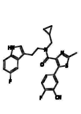 Cc1nc(C(=O)N(CCc2c[nH]c3ccc(F)cc23)CC2CC2)c(-c2ccc(F)c(C#N)c2)s1